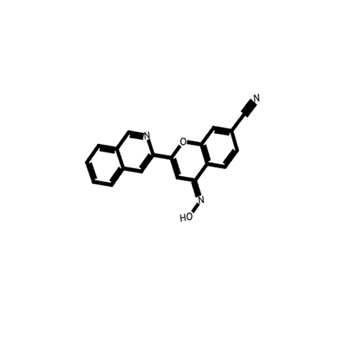 N#Cc1ccc2/c(=N/O)cc(-c3cc4ccccc4cn3)oc2c1